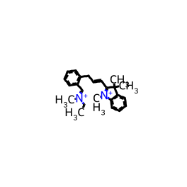 CC/[N+](C)=C/c1ccccc1C/C=C/C1=[N+](C)c2ccccc2C1(C)C